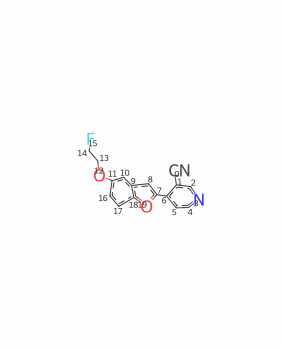 N#Cc1cnccc1-c1cc2cc(OCCF)ccc2o1